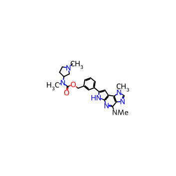 CNc1nc2[nH]c(-c3cccc(COC(=O)N(C)C4CCN(C)C4)c3)cc2c2c1ncn2C